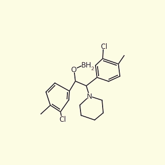 BOC(c1ccc(C)c(Cl)c1)C(c1ccc(C)c(Cl)c1)N1CCCCC1